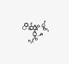 C=CC(=O)N1CCN(c2nc(OC[C@@H]3C[C@@H](F)CN3C)nc3c(F)c(-c4cccc5c4CCCC5)ncc23)C[C@@H]1CC#N